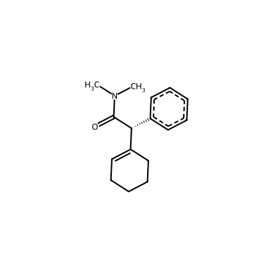 CN(C)C(=O)[C@@H](C1=CCCCC1)c1ccccc1